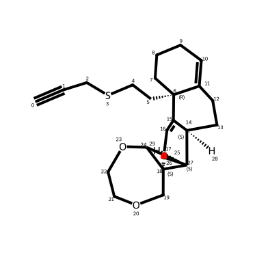 C#CCSCC[C@]12CCCC=C1CC[C@@H]1C2=CC[C@]23COCCOC2CC[C@@H]13